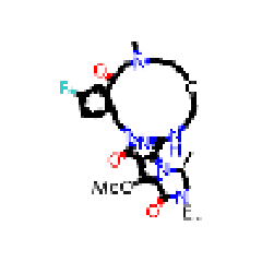 CCN1C[C@H](C)n2c(c(OC)c3c(=O)n4nc(c32)NCCCCCCN(C)CC(=O)c2cc(F)ccc2C4)C1=O